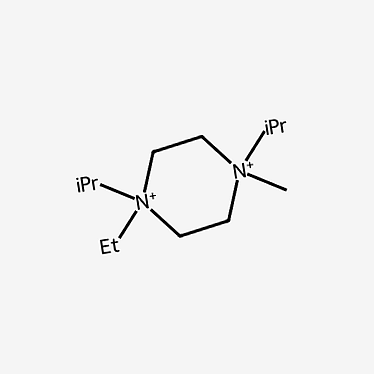 CC[N+]1(C(C)C)CC[N+](C)(C(C)C)CC1